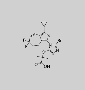 CC(C)(Sc1nnc(Br)n1-c1sc(C2CC2)c2c1CCC(F)(F)C=C2)C(=O)O